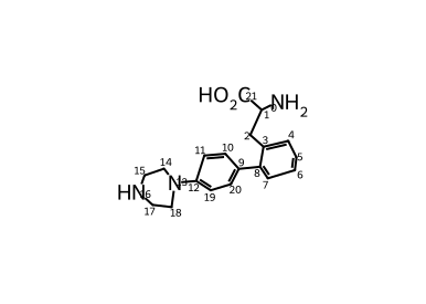 NC(Cc1ccccc1-c1ccc(N2CCNCC2)cc1)C(=O)O